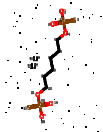 O=S([O-])(=S)OCCCCCCOS(=O)([O-])=S.[Li+].[Li+]